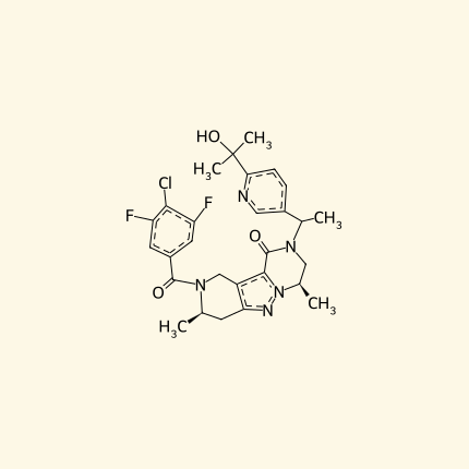 CC(c1ccc(C(C)(C)O)nc1)N1C[C@@H](C)n2nc3c(c2C1=O)CN(C(=O)c1cc(F)c(Cl)c(F)c1)[C@H](C)C3